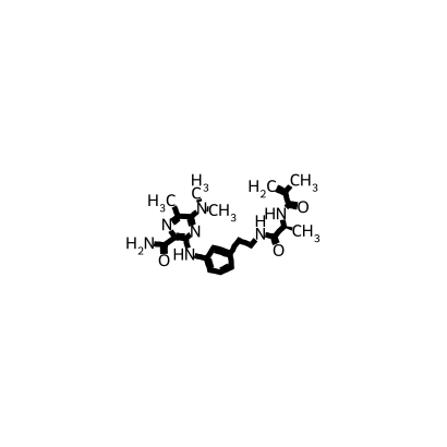 C=C(C)C(=O)N[C@@H](C)C(=O)NCCc1cccc(Nc2nc(N(C)C)c(C)nc2C(N)=O)c1